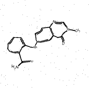 Cn1cnc2ccc(Nc3ccccc3C(N)=O)cc2c1=O